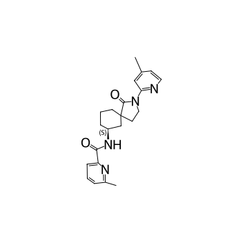 Cc1ccnc(N2CCC3(CCC[C@H](NC(=O)c4cccc(C)n4)C3)C2=O)c1